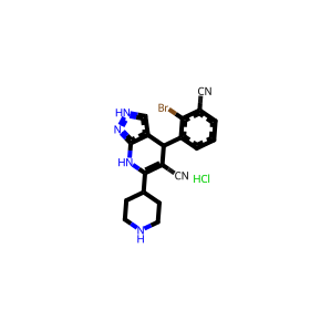 Cl.N#CC1=C(C2CCNCC2)Nc2n[nH]cc2C1c1cccc(C#N)c1Br